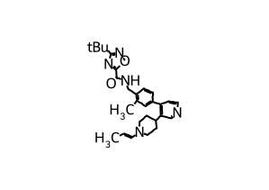 CC=CN1CCC(c2cnccc2-c2ccc(CNC(=O)c3nc(C(C)(C)C)no3)c(C)c2)CC1